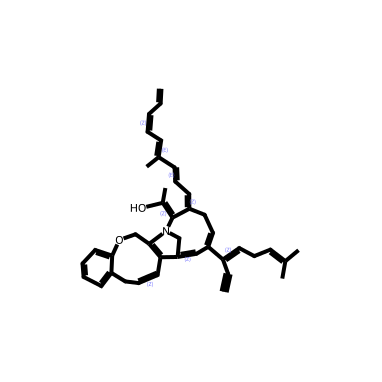 C#C/C(=C\CC=C(C)C)C1=CCC(=C/C=C/C(C)=C/C=C\C=C)/C(=C(\C)O)N2C/C(=C\1)C1=C2COc2ccccc2C/C=C\1